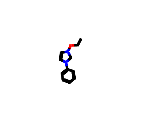 CCON1C=CN(c2ccccc2)C1